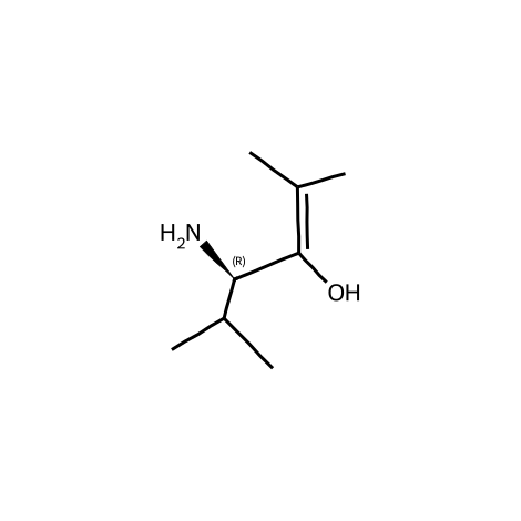 CC(C)=C(O)[C@H](N)C(C)C